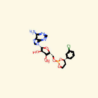 Nc1ncnc2c1ncn2[C@@H]1O[C@H](COP2OCC[C@@H](c3cccc(Cl)c3)O2)[C@@H](O)[C@H]1O